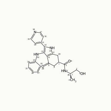 C[C@H](CO)NC(=O)C1CC(=O)c2c([nH]c(-c3ccncc3)c2Nc2ccccc2)C1